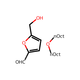 CCCCCCCCOCCCCCCCC.O=Cc1ccc(CO)o1